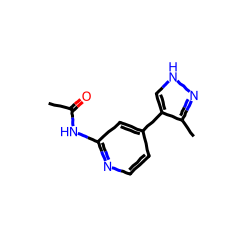 CC(=O)Nc1cc(-c2c[nH]nc2C)ccn1